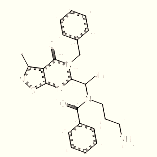 Cc1nsc2nc(C(C(C)C)N(CCCN)C(=O)c3ccccc3)n(Cc3ccccc3)c(=O)c12